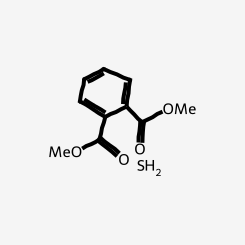 COC(=O)c1ccccc1C(=O)OC.S